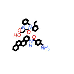 C=Cc1ccccc1N1Cc2ccccc2N(C)C(CC(=O)O)C1=O.NCc1ccc(C(=O)Nc2cccc3c2=CCc2c4c(ccc2=3)=CCCC4)cc1